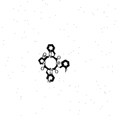 O=C1N[C@H](Cc2ccccc2F)C(=O)N[C@@H](Cc2cccnc2)C(=O)N2CCC[C@@H]2C(=O)N[C@H]1Cc1ccccc1